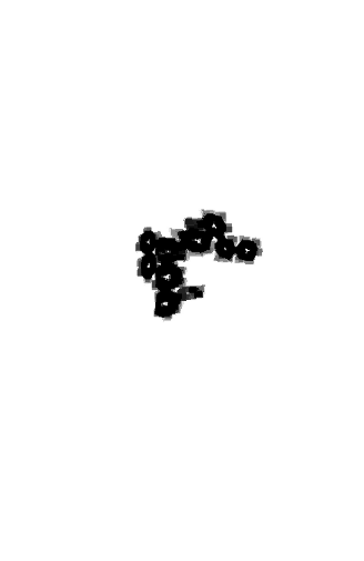 N#Cc1ccccc1-c1ccc(-c2nc(-c3ccc4c(c3)oc3cccc(-c5cccc(-c6ccccc6)c5)c34)nc(-c3ccccc3-c3ccccc3)n2)cc1